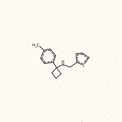 Cc1ccc(C2(NCc3cccs3)CCC2)cc1